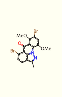 COc1c(Br)cc(OC)c2c1c(=O)c1c(Br)ccc3c(C)nn2c31